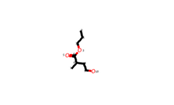 CCCOC(=O)C(C)CC[O]